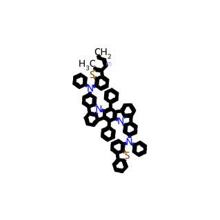 C=C/C=C\c1c(C)sc2c(N(c3ccccc3)c3ccc4c5cccc6c7c(-c8ccccc8)c8c(c(-c9ccccc9)c7n(c4c3)c56)c3cccc4c5ccc(N(c6ccccc6)c6cccc7c6sc6ccccc67)cc5n8c43)cccc12